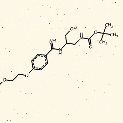 CC(C)(C)OC(=O)NCC(CO)NC(=N)c1ccc(OCCON)cc1